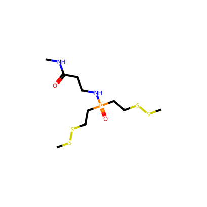 CNC(=O)CCNP(=O)(CCSSC)CCSSC